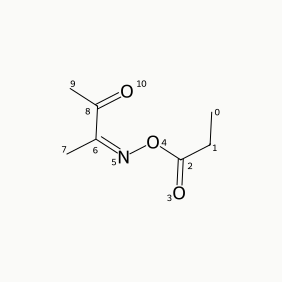 CCC(=O)ON=C(C)C(C)=O